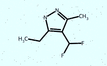 CCC1=C(C(F)F)C(C)=N[N]1